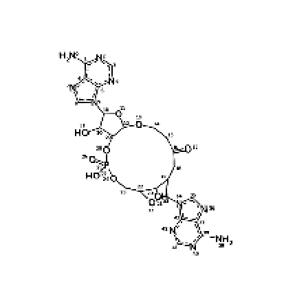 Nc1ncnc2c1ncn2C1OC2OCCC(=O)CC3C(O)C(COP(=O)(O)OC2C1O)OC3n1cnc2c(N)ncnc21